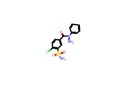 NN(C(=O)c1ccc(Cl)c(S(N)(=O)=O)c1)c1ccccc1